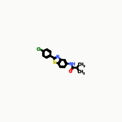 CC(C)C(=O)Nc1ccc2sc(-c3ccc(Cl)cc3)nc2c1